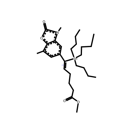 CCC[CH2][Sn]([CH2]CCC)([CH2]CCC)/[C](=C\CCCC(=O)OC)c1cc(C)c2oc(=O)n(C)c2c1